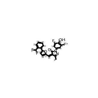 CC1=NN(c2cc(F)c(O)c(F)c2)C(=O)C1=Cc1ccc(-c2ccccc2C(F)F)o1